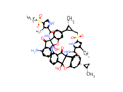 Cc1cc(S(=O)(=O)CC2C(c3ccc4c(c3)OC3(O)c5cccc(N)c5C(=O)C43NC(=O)c3[nH]cc(S(C)(=O)=O)c3C)[C@@H]2C)[nH]c1C(=O)NC12C(=O)c3c(N)cccc3C1(O)Oc1cc([C@@H]3C[C@@H]3C)ccc12